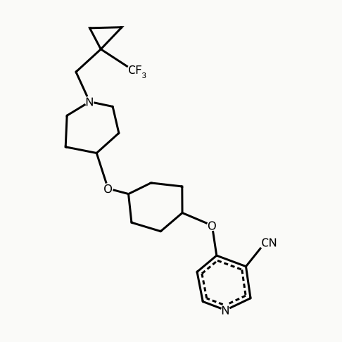 N#Cc1cnccc1OC1CCC(OC2CCN(CC3(C(F)(F)F)CC3)CC2)CC1